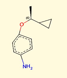 C[C@H](Oc1ccc(N)cc1)C1CC1